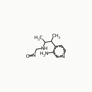 CC(NCN=O)C(C)c1ccncc1N